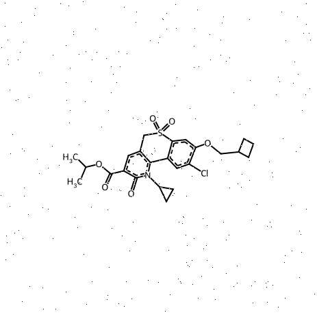 CC(C)OC(=O)c1cc2c(n(C3CC3)c1=O)-c1cc(Cl)c(OCC3CCC3)cc1S(=O)(=O)C2